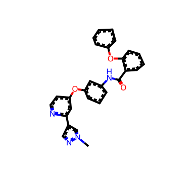 Cn1cc(-c2cc(Oc3cccc(NC(=O)c4ccccc4Oc4ccccc4)c3)ccn2)cn1